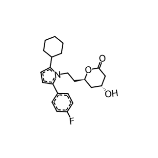 O=C1C[C@H](O)C[C@@H](CCn2c(-c3ccc(F)cc3)ccc2C2CCCCC2)O1